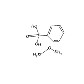 O=P(O)(O)c1ccccc1.[SiH3]O[SiH3]